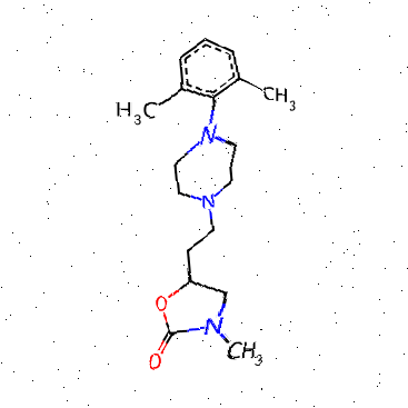 Cc1cccc(C)c1N1CCN(CCC2CN(C)C(=O)O2)CC1